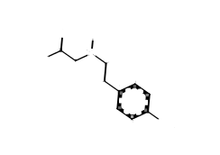 CCC(F)CN(CC)CCc1ccc(C(=O)O)cc1